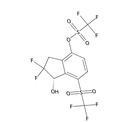 O=S(=O)(Oc1ccc(S(=O)(=O)C(F)(F)F)c2c1CC(F)(F)[C@H]2O)C(F)(F)F